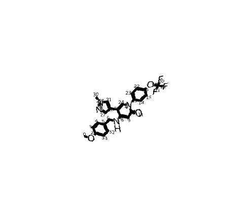 COc1ccc(CNc2cc(=O)n(-c3ccc(OC(F)(F)F)cc3)cc2-c2cnn(C)c2)cc1